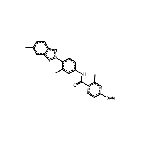 COc1ccc(C(=O)Nc2ccc(-c3nc4ccc(C)cc4s3)c(C)c2)c(C)c1